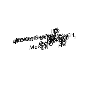 COC(=O)C(O)c1ccc(NC(=O)C(CCCCNC(c2ccccc2)(c2ccccc2)c2ccc(C)cc2)NC(=O)C(Cc2ccccc2)NC(=O)CCOCCOCCOCCOCCOCCOCCN=[N+]=[N-])cc1